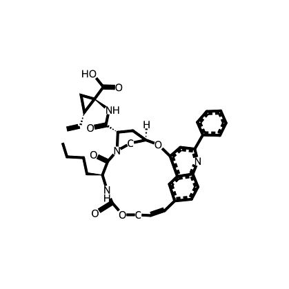 C=C[C@@H]1C[C@]1(NC(=O)[C@@H]1C[C@@H]2CN1C(=O)[C@H](CCCC)NC(=O)OC/C=C\c1ccc3nc(-c4ccccc4)cc(c3c1)O2)C(=O)O